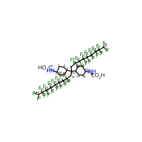 O=C(O)NC1CCC(C(CC(F)(F)C(F)(F)C(F)(F)C(F)(F)C(F)(F)C(F)(F)C(F)(F)C(F)F)(CC(F)(F)C(F)(F)C(F)(F)C(F)(F)C(F)(F)C(F)(F)C(F)(F)C(F)F)C2CCC(NC(=O)O)CC2)CC1